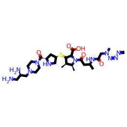 C=N/N=N\N(C)CC(=O)NC(C)CC(=O)N1C(C(=O)O)C(S[C@@H]2CN[C@H](C(=O)N3CCN(C[C@H](N)CN)CC3)C2)[C@H](C)[C@@H]1C